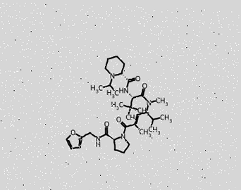 C/C(=C\[C@H](C(C)C)N(C)C(=O)[C@@H](NC(=O)[C@H]1CCCCN1C(C)C)C(C)(C)C)C(=O)N1CCC[C@H]1C(=O)NCc1ccco1